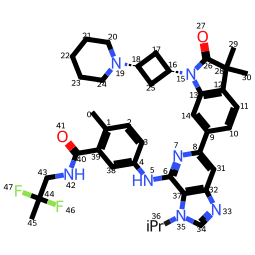 Cc1ccc(Nc2nc(-c3ccc4c(c3)N([C@H]3C[C@@H](N5CCCCC5)C3)C(=O)C4(C)C)cc3ncn(C(C)C)c23)cc1C(=O)NCC(C)(F)F